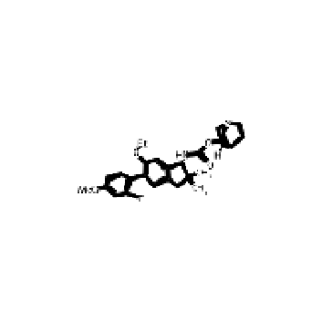 CCOc1cc2c(cc1-c1ccc(OC)cc1F)CC(C)(C)[C@H]2NC(=O)O[C@@H]1CN2CCC1CC2